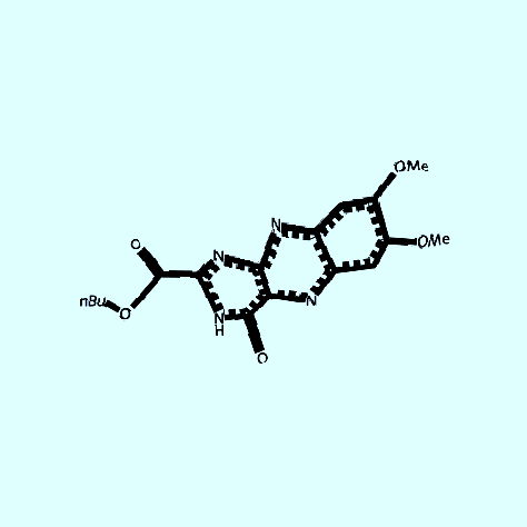 CCCCOC(=O)c1nc2nc3cc(OC)c(OC)cc3nc2c(=O)[nH]1